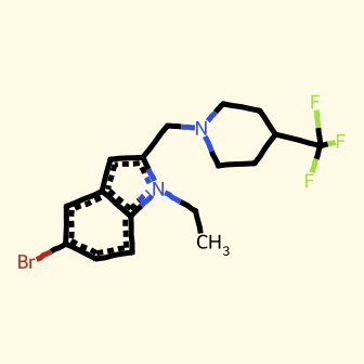 CCn1c(CN2CCC(C(F)(F)F)CC2)cc2cc(Br)ccc21